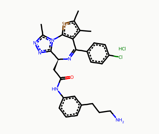 Cc1sc2c(c1C)C(c1ccc(Cl)cc1)=N[C@@H](CC(=O)Nc1cccc(CCCN)c1)c1nnc(C)n1-2.Cl